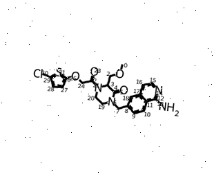 COCC1C(=O)N(Cc2ccc3c(N)nccc3c2)CCN1C(=O)COc1ccc(Cl)s1